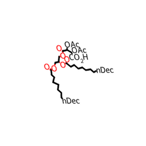 CCCCCCCCCCCCCCCCCC(=O)OCC(COC(=O)C(OC(C)=O)C(OC(C)=O)C(=O)O)OC(=O)CCCCCCCCCCCCCCCCC